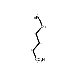 CCCOCCCC(=O)O